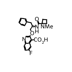 CNC1(C(=O)N[C@@H](COc2cnc3ccc(F)cc3c2C(=O)O)Cc2ccccc2)CCC1